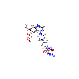 COCOc1cc2c(N3CCN(C(C)(C)CNS(N)(=O)=O)CC3)ncnc2cc1OC